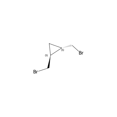 BrC[C@H]1C[C@@H]1CBr